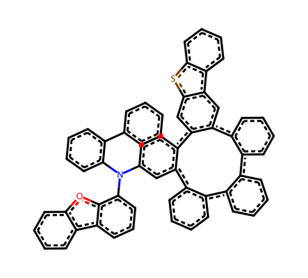 c1ccc(-c2ccccc2N(c2ccc3c(c2)c2ccccc2c2ccccc2c2ccccc2c2cc4c(cc32)sc2ccccc24)c2cccc3c2oc2ccccc23)cc1